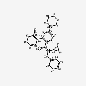 O=C(c1cnc(N2CCCCC2)nc1C1=C(F)CCC=C1)N(CC1=CC=CCC1)C1CC1